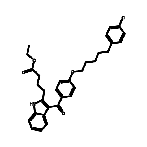 CCOC(=O)CCCc1[nH]c2ccccc2c1C(=O)c1ccc(OCCCCCc2ccc(Cl)cc2)cc1